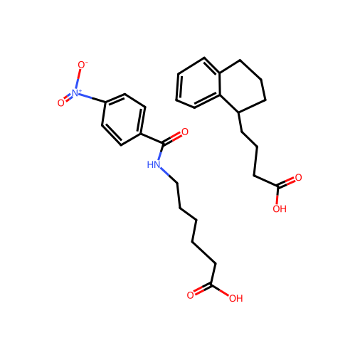 O=C(O)CCCC1CCCc2ccccc21.O=C(O)CCCCCNC(=O)c1ccc([N+](=O)[O-])cc1